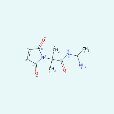 CC(N)NC(=O)C(C)(C)N1C(=O)C=CC1=O